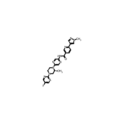 C[C@H]1CN(c2ncc(F)cn2)CCN1c1cnc(NC(=O)c2ccc(-c3cnn(C)c3)nc2)cn1